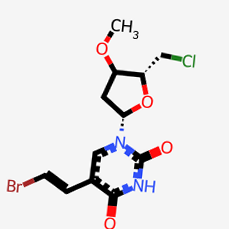 COC1C[C@@H](n2cc(/C=C/Br)c(=O)[nH]c2=O)O[C@H]1CCl